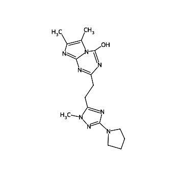 Cc1nc2nc(CCc3nc(N4CCCC4)nn3C)nc(O)n2c1C